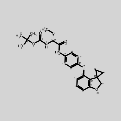 CC[C@@H](NC(=O)OC(C)(C)C)C(=O)Nc1cnc(Oc2cccc3c2C2(CC2)CO3)cn1